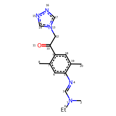 CCN(C)C=Nc1cc(C)c(C(=O)Cn2cnnc2)cc1C